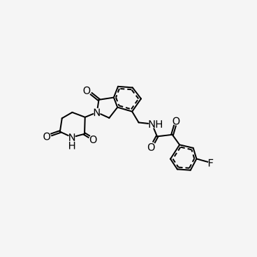 O=C1CCC(N2Cc3c(CNC(=O)C(=O)c4cccc(F)c4)cccc3C2=O)C(=O)N1